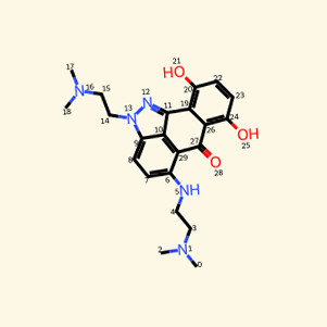 CN(C)CCNc1ccc2c3c(nn2CCN(C)C)-c2c(O)ccc(O)c2C(=O)c13